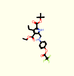 CCOC(=O)c1c(CNc2ccc(OC(=O)C(F)(F)F)cc2)[nH]c(C(=O)OC(C)(C)C)c1CC